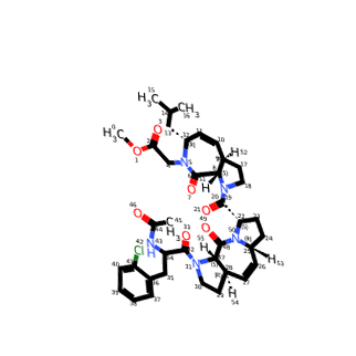 COC(=O)CN1C(=O)[C@@H]2[C@@H](C=C[C@H]1CC(C)C)CCN2C(=O)[C@@H]1CC[C@@H]2C=C[C@H]3CCN(C(=O)C(Cc4ccccc4Cl)NC(C)=O)[C@@H]3C(=O)N21